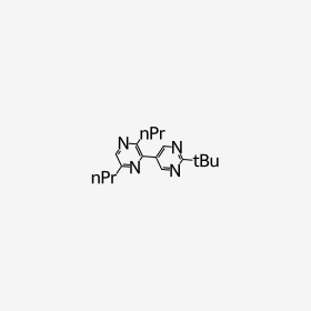 CCCc1cnc(CCC)c(-c2cnc(C(C)(C)C)nc2)n1